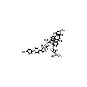 CN(C1CC(Oc2ccc(C(C)(C)CC3[C@H]4C[C@H](CN4C(C)(C)C)N3c3ccc(C(C)(C)CCC(C)(C)N4CCC(N5CCN(c6ccc(C(C)(C)C)cc6)CC5)C4)cc3)cc2)C1)C(C)(C)C